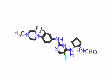 CN1CCN(c2ccc(Nc3ncc(F)c(N[C@@H]4CCC[C@@H]4NC=O)n3)cc2C(F)(F)F)CC1